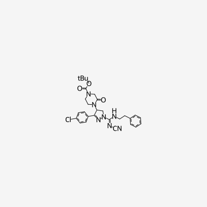 CC(C)(C)OC(=O)N1CCN(C2CN(C(=NC#N)NCCc3ccccc3)N=C2c2ccc(Cl)cc2)C(=O)C1